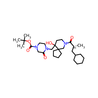 C[C@H](CC1CCCCC1)C(=O)N1CCC(O)(CN2CCN(C(=O)OC(C)(C)C)CC2=O)C2(CCCC2)C1